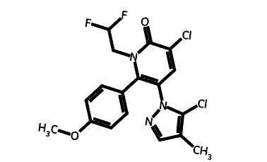 COc1ccc(-c2c(-n3ncc(C)c3Cl)cc(Cl)c(=O)n2CC(F)F)cc1